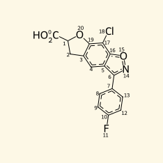 O=C(O)C1Cc2cc3c(-c4ccc(F)cc4)noc3c(Cl)c2O1